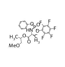 COCC(C)OC(=O)[C@H](C)NP(=O)(Oc1ccccc1)Oc1c(F)c(F)c(F)c(F)c1F